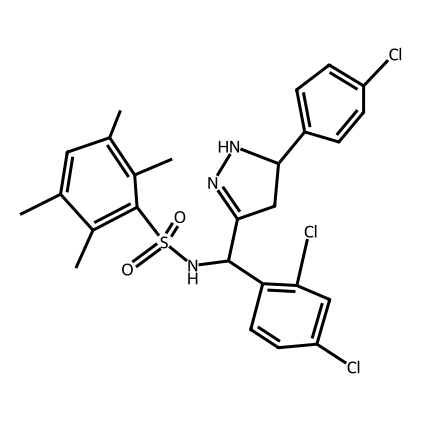 Cc1cc(C)c(C)c(S(=O)(=O)NC(C2=NNC(c3ccc(Cl)cc3)C2)c2ccc(Cl)cc2Cl)c1C